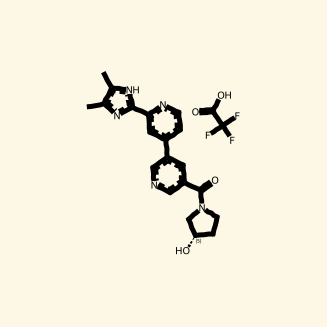 Cc1nc(-c2cc(-c3cncc(C(=O)N4CC[C@H](O)C4)c3)ccn2)[nH]c1C.O=C(O)C(F)(F)F